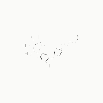 OC[C@]12COC(c3ccc(Cl)c(Cc4ccc(OCCOC5CC5)cc4)c3)(O1)[C@H](O)[C@@H](O)[C@@H]2O